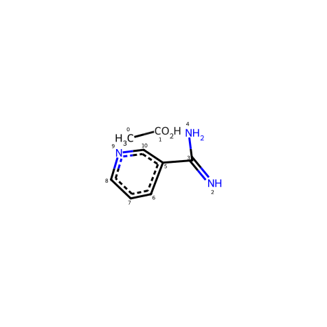 CC(=O)O.N=C(N)c1cccnc1